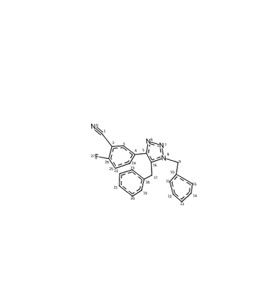 N#Cc1cc(-c2nnn(Cc3ccccc3)c2Cc2ccccc2)ccc1F